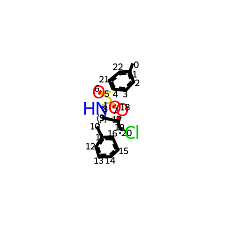 Cc1ccc(S(=O)(=O)N[C@@H](Cc2ccccc2)C(=O)[CH]Cl)cc1